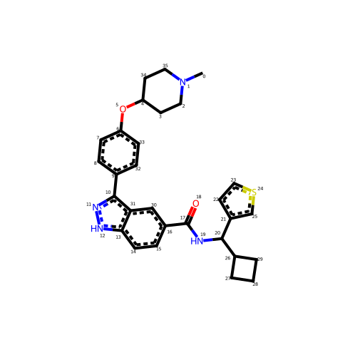 CN1CCC(Oc2ccc(-c3n[nH]c4ccc(C(=O)NC(c5ccsc5)C5CCC5)cc34)cc2)CC1